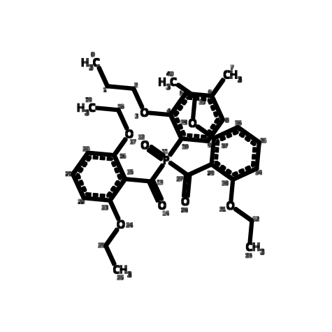 CCCOc1cc(C)ccc1P(=O)(C(=O)c1c(OCC)cccc1OCC)C(=O)c1c(OCC)cccc1OCC